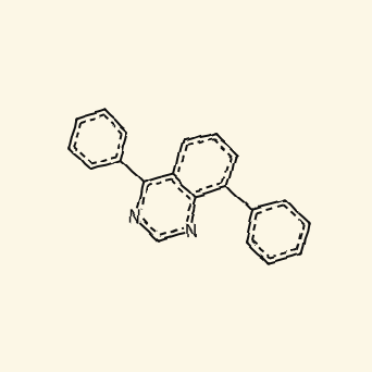 c1ccc(-c2ncnc3c(-c4ccccc4)cccc23)cc1